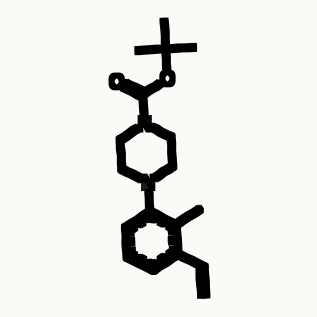 C=Cc1cccc(N2CCN(C(=O)OC(C)(C)C)CC2)c1C